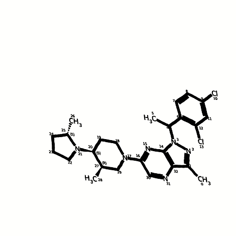 Cc1nn(C(C)c2ccc(Cl)cc2Cl)c2nc(N3CC[C@H](N4CCC[C@@H]4C)[C@H](C)C3)cnc12